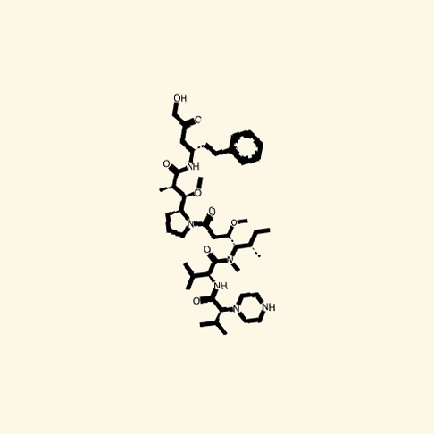 CC[C@H](C)[C@@H](C(CC(=O)N1CCC[C@H]1[C@H](OC)[C@@H](C)C(=O)N[C@@H](CCc1ccccc1)CC(=O)CO)OC)N(C)C(=O)[C@@H](NC(=O)[C@H](C(C)C)N1CCNCC1)C(C)C